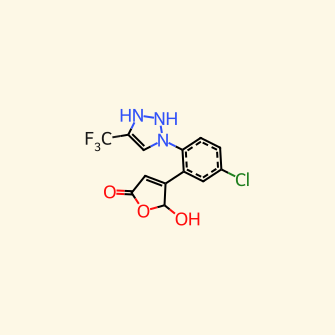 O=C1C=C(c2cc(Cl)ccc2N2C=C(C(F)(F)F)NN2)C(O)O1